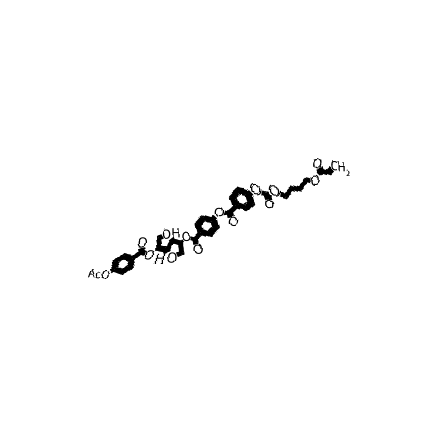 C=CC(=O)OCCCCOC(=O)Oc1ccc(C(=O)Oc2ccc(C(=O)O[C@H]3CO[C@H]4[C@@H]3OC[C@H]4OC(=O)c3ccc(OC(C)=O)cc3)cc2)cc1